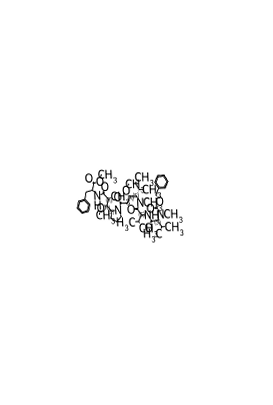 CCC(C)[C@@H]([C@@H](CC(=O)N1CCC[C@H]1[C@H](OC)[C@@H](C)C(=O)NC(Cc1ccccc1)C(=O)OC)OC)N(C)C(=O)[C@@H](NC(=O)[C@H](C(C)C)N(C)C(=O)OCc1ccccc1)C(C)C